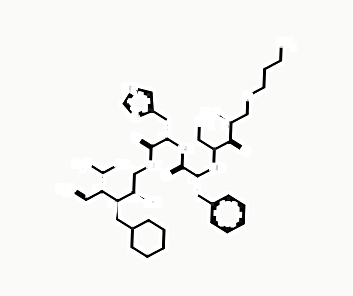 C=C[C@H](C(C)C)[C@H](CC1CCCCC1)[C@H](O)CNC(=O)[C@H](Cc1c[nH]cn1)NC(=O)[C@@H](Cc1ccccc1)NC(CC)C(=O)[C@@H](N)COCCCC